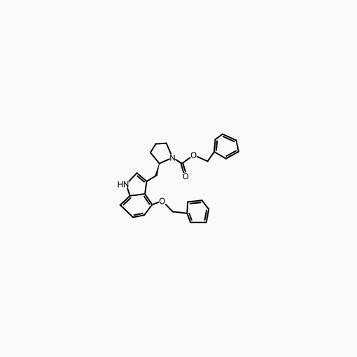 O=C(OCc1ccccc1)N1CCC[C@@H]1Cc1c[nH]c2cccc(OCc3ccccc3)c12